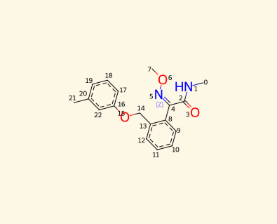 CNC(=O)/C(=N\OC)c1ccccc1COc1cccc(C)c1